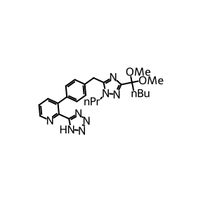 CCCCC(OC)(OC)c1nc(Cc2ccc(-c3cccnc3-c3nnn[nH]3)cc2)n(CCC)n1